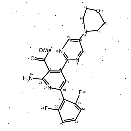 COC(=O)c1c(-c2ncc(N3CCOCC3)cn2)cc(-c2c(F)cccc2F)nc1N